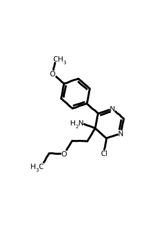 CCOCCC1(N)C(c2ccc(OC)cc2)=NC=NC1Cl